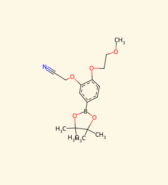 COCCOc1ccc(B2OC(C)(C)C(C)(C)O2)cc1OCC#N